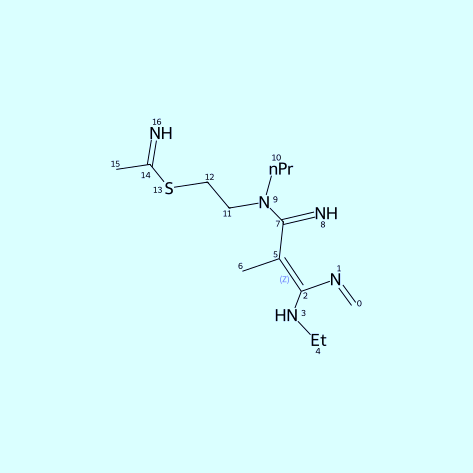 C=N/C(NCC)=C(/C)C(=N)N(CCC)CCSC(C)=N